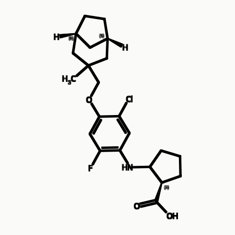 CC1(COc2cc(F)c(NC3CCC[C@H]3C(=O)O)cc2Cl)C[C@@H]2CC[C@@H](C2)C1